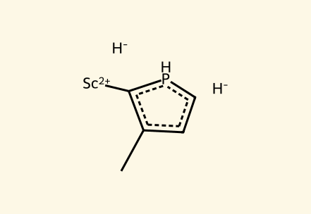 Cc1cc[pH][c]1[Sc+2].[H-].[H-]